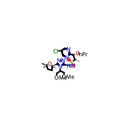 CCCO[C@@H](c1ncc(Cl)cn1)[C@H](C)S(=O)(=O)Nc1nnc([C@H]2CC[C@@H](C)O2)n1C(COC)COC